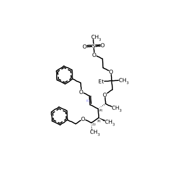 CCC(C)(COC(C)[C@@H](/C=C/OCc1ccccc1)[C@@H](C)[C@H](C)OCc1ccccc1)OCCOS(C)(=O)=O